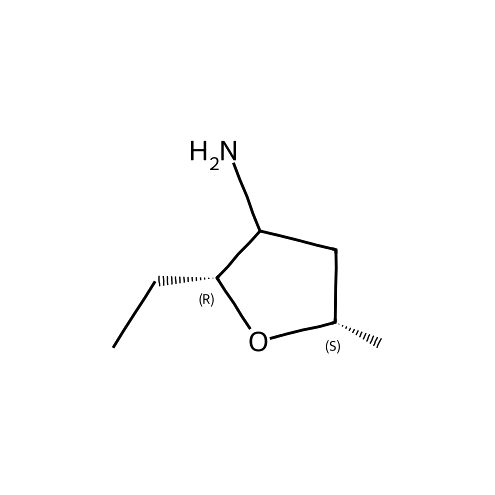 CC[C@H]1O[C@@H](C)CC1N